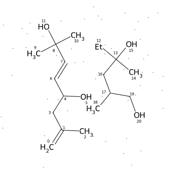 C=C(C)CC(O)C=CC(C)(C)O.CCC(C)(O)CC(C)CO